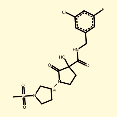 CS(=O)(=O)N1CC[C@@H](N2CCC(O)(C(=O)NCc3cc(F)cc(Cl)c3)C2=O)C1